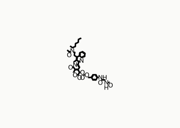 CCCCCC(C)N(CCc1c2c(nc3ccccc13)-c1cc3c(c(=O)n1C2)COC(=O)C3OC(=O)OCc1ccc(NC(=O)CNC=O)cc1)C(C)=O